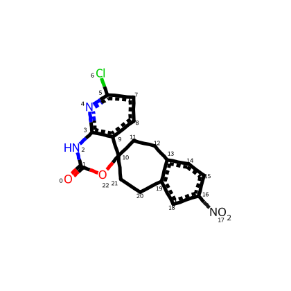 O=C1Nc2nc(Cl)ccc2C2(CCc3ccc([N+](=O)[O-])cc3CC2)O1